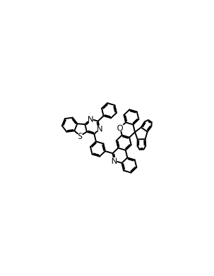 c1ccc(-c2nc(-c3cccc(-c4nc5ccccc5c5cc6c(cc45)Oc4ccccc4C64c5ccccc5-c5ccccc54)c3)c3sc4ccccc4c3n2)cc1